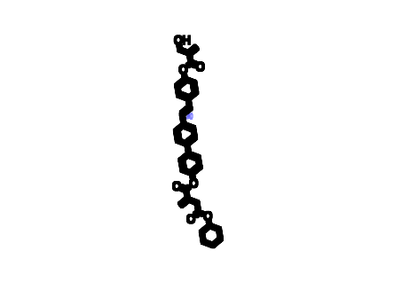 C=C(CO)C(=O)Oc1ccc(/C=C/c2ccc(-c3ccc(OC(=O)C(=C)CC(=O)OC4CCCCC4)cc3)cc2)cc1